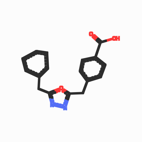 O=C(O)c1ccc(Cc2nnc(Cc3ccccc3)o2)cc1